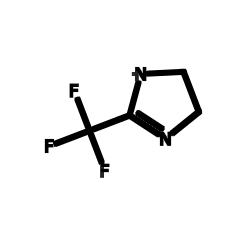 FC(F)(F)C1=NCC[N]1